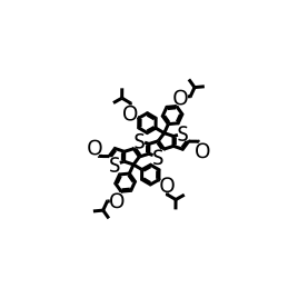 CC(C)COc1ccc(C2(c3ccc(OCC(C)C)cc3)c3sc(C=O)cc3-c3sc4c5c(sc4c32)-c2cc(C=O)sc2C5(c2ccc(OCC(C)C)cc2)c2ccc(OCC(C)C)cc2)cc1